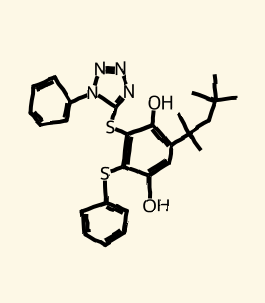 CC(C)(C)CC(C)(C)c1cc(O)c(Sc2ccccc2)c(Sc2nnnn2-c2ccccc2)c1O